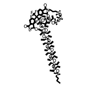 C=C[Si](C=C)(O[Si](C)(C)CCCC)O[Si](C=C)(C=C)O[Si](C=C)(C=C)O[Si](C=C)(C=C)O[Si](C=C)(C=C)O[Si](C=C)(C=C)O[Si](C=C)(C=C)O[Si](C=C)(C=C)O[Si](C=C)(C=C)O[Si](C=C)(C=C)O[Si](C=C)(C=C)O[Si](C=C)(C=C)O[Si](C)(C)O[Si](C)(C)O[Si](C)(C)CCCN1C(=O)c2ccc(C(c3ccc4c(c3)C(=O)N(C)C4=O)(C(F)(F)F)C(F)(F)F)cc2C1=O